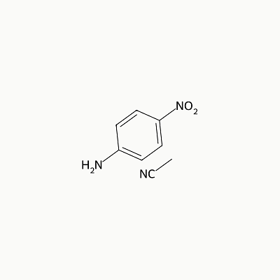 CC#N.Nc1ccc([N+](=O)[O-])cc1